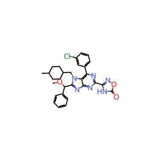 COC(c1ccccc1)c1nc2nc(-c3noc(=O)[nH]3)nc(-c3cccc(Cl)c3)c2n1CC1CCC(C)CC1